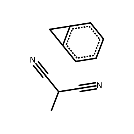 CC(C#N)C#N.c1ccc2c(c1)C2